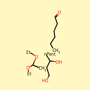 CCCCCC(O)CCO.CCCCCC=O.CCOC(C)OCC